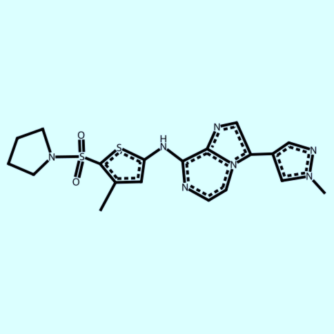 Cc1cc(Nc2nccn3c(-c4cnn(C)c4)cnc23)sc1S(=O)(=O)N1CCCC1